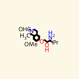 COc1cc2c(cc1OCC(O)C(N)C(C)C)CCN(C=O)C2C